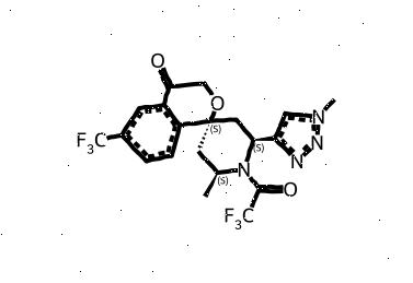 C[C@H]1C[C@@]2(C[C@@H](c3cn(C)nn3)N1C(=O)C(F)(F)F)OCC(=O)c1cc(C(F)(F)F)ccc12